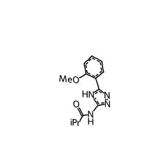 COc1ccccc1-c1nnc(NC(=O)C(C)C)[nH]1